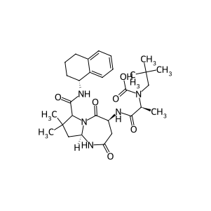 C[C@@H](C(=O)N[C@H]1CC(=O)N[C@H]2CC(C)(C)C(C(=O)N[C@@H]3CCCc4ccccc43)N2C1=O)N(CC(C)(C)C)C(=O)O